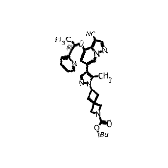 Cc1c(-c2cc(O[C@H](C)c3ccccn3)c3c(C#N)cnn3c2)cnn1C1CC2(C1)CN(C(=O)OC(C)(C)C)C2